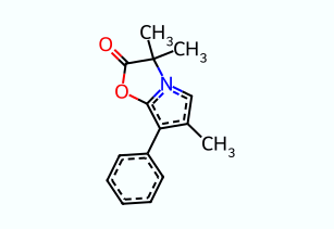 Cc1cn2c(c1-c1ccccc1)OC(=O)C2(C)C